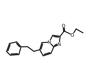 CCOC(=O)c1cn2cc(CCc3ccccc3)ccc2n1